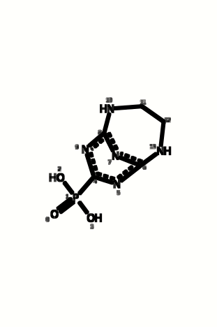 O=P(O)(O)c1nc2nc(n1)NCCN2